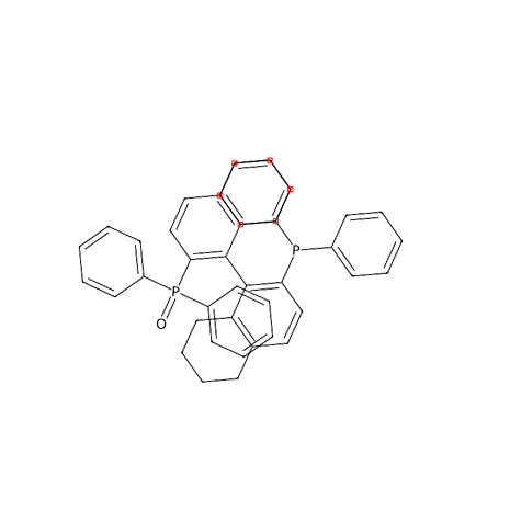 O=P(c1ccccc1)(c1ccccc1)c1ccc2c(c1-c1c(P(c3ccccc3)c3ccccc3)ccc3c1CCCC3)CCCC2